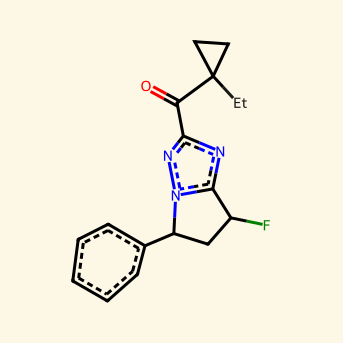 CCC1(C(=O)c2nc3n(n2)C(c2ccccc2)CC3F)CC1